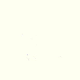 CC(C)CC(N)c1cc(-c2nnn[nH]2)c2cc(-c3ccncc3)ccc2n1